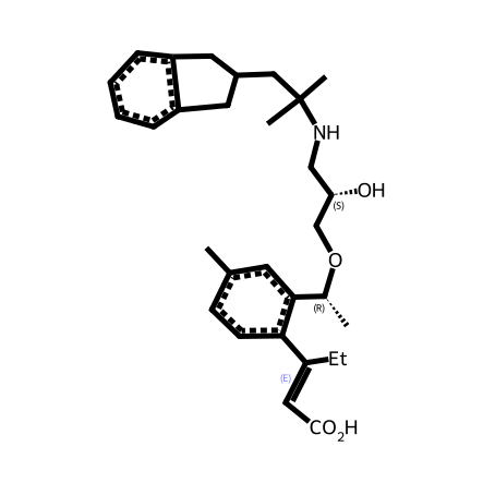 CC/C(=C\C(=O)O)c1ccc(C)cc1[C@@H](C)OC[C@@H](O)CNC(C)(C)CC1Cc2ccccc2C1